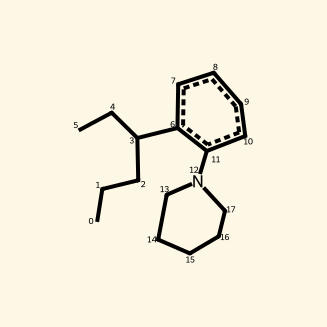 CCCC(CC)c1ccccc1N1CCCCC1